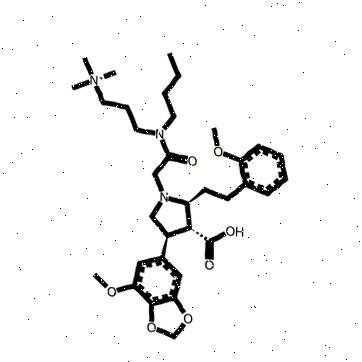 CCCCN(CCC[N+](C)(C)C)C(=O)CN1C[C@H](c2cc(OC)c3c(c2)OCO3)[C@@H](C(=O)O)[C@@H]1CCc1ccccc1OC